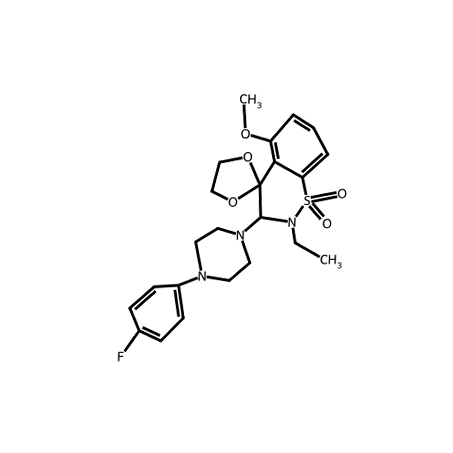 CCN1C(N2CCN(c3ccc(F)cc3)CC2)C2(OCCO2)c2c(OC)cccc2S1(=O)=O